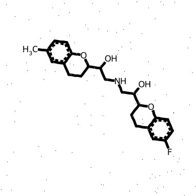 Cc1ccc2c(c1)CCC(C(O)CNCC(O)C1CCc3cc(F)ccc3O1)O2